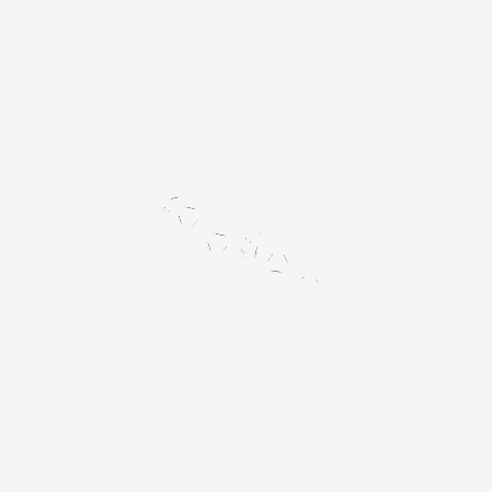 C=CC(=O)Oc1cccc(C(O)(c2cnc(-c3cc(Oc4c(F)cc5[nH]ccc5c4F)ccc3F)[nH]2)C(C)(C)C)c1